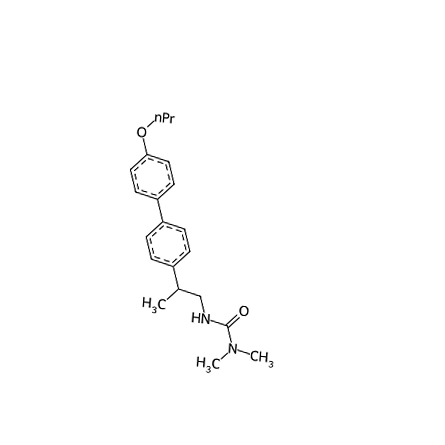 CCCOc1ccc(-c2ccc(C(C)CNC(=O)N(C)C)cc2)cc1